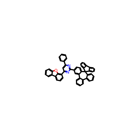 c1ccc(-c2cc(-c3cccc4c3oc3ccccc34)nc(-c3ccc4c(c3)-c3ccccc3-c3ccccc3C43c4ccccc4-c4ccccc43)n2)cc1